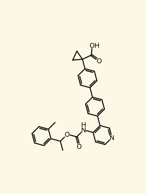 Cc1ccccc1C(C)OC(=O)Nc1ccncc1-c1ccc(-c2ccc(C3(C(=O)O)CC3)cc2)cc1